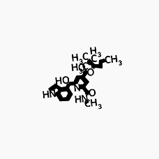 CCCC(OC(=O)c1cc(C(=O)NC)nc(C(O)c2cccc3[nH]ccc23)c1)C(C)(C)C